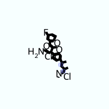 C=N/C(Cl)=C(C)\C=C(/C)c1ccc(C2C(C#N)=C(N)Oc3c2c(=O)oc2ccc(F)cc32)cc1